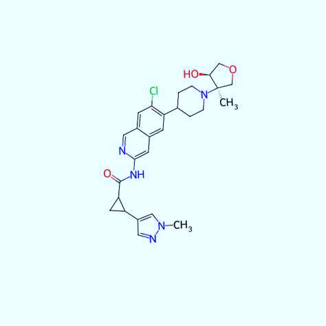 Cn1cc(C2CC2C(=O)Nc2cc3cc(C4CCN([C@]5(C)COC[C@@H]5O)CC4)c(Cl)cc3cn2)cn1